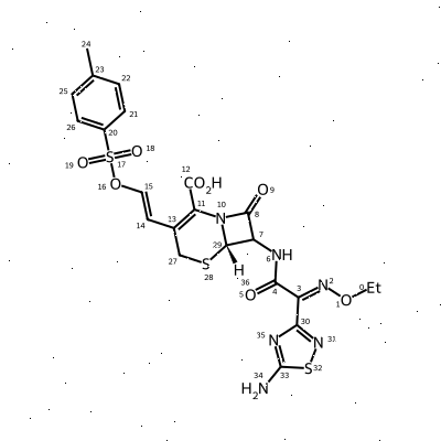 CCON=C(C(=O)NC1C(=O)N2C(C(=O)O)=C(C=COS(=O)(=O)c3ccc(C)cc3)CS[C@@H]12)c1nsc(N)n1